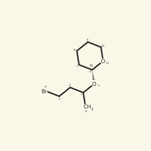 CC(CCBr)O[C@@H]1CCCCO1